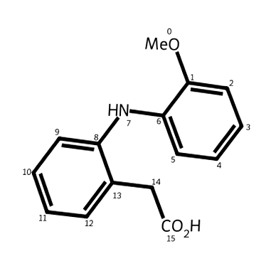 COc1ccccc1Nc1ccccc1CC(=O)O